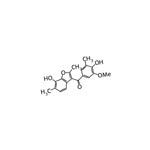 COc1cc(C(=O)c2c(C)oc3c(O)c(C)ccc23)cc(C)c1O